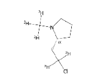 [2H]C([2H])(Cl)C[C@H]1CCCN1C([2H])([2H])[2H]